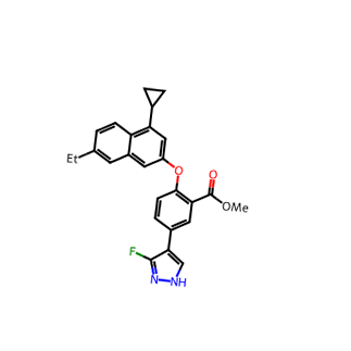 CCc1ccc2c(C3CC3)cc(Oc3ccc(-c4c[nH]nc4F)cc3C(=O)OC)cc2c1